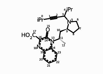 CC(C)C#CC(C(C)C)N1CCC[C@H]1C[C@H](C)n1c(=O)c(C(=O)O)nc2ccccc21